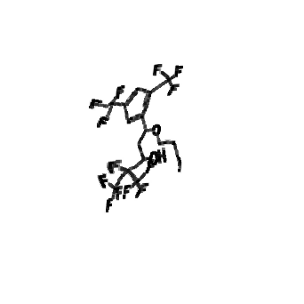 OC(CC(OCCI)c1cc(C(F)(F)F)cc(C(F)(F)F)c1)C(F)(C(F)(F)F)C(F)(F)F